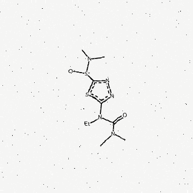 CCN(C(=O)N(C)C)c1nnc([S+]([O-])N(C)C)s1